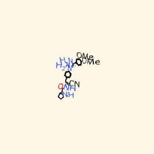 COc1ccc(/C(N)=C/N(N)c2ccc(C[C@@H](C#N)NC(=O)C3NC4CCC3C4)cc2)cc1OC